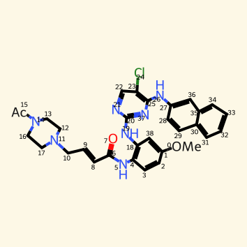 COc1ccc(NC(=O)/C=C/CN2CCN(C(C)=O)CC2)c(Nc2ncc(Cl)c(Nc3ccc4ccccc4c3)n2)c1